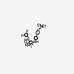 CCN(CC)CCN1CCN(c2ccc(Nc3cc(NCc4cc(F)cc(F)c4)c(C(N)=O)cn3)cc2)CC1